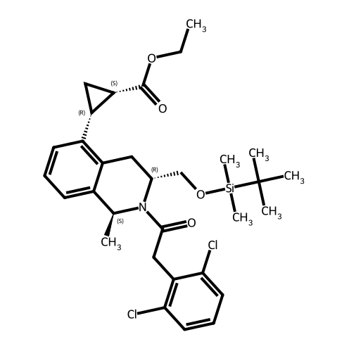 CCOC(=O)[C@H]1C[C@H]1c1cccc2c1C[C@H](CO[Si](C)(C)C(C)(C)C)N(C(=O)Cc1c(Cl)cccc1Cl)[C@H]2C